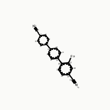 N#Cc1ccc(-c2ccc(-c3ccc(C#N)cc3F)cc2)cc1